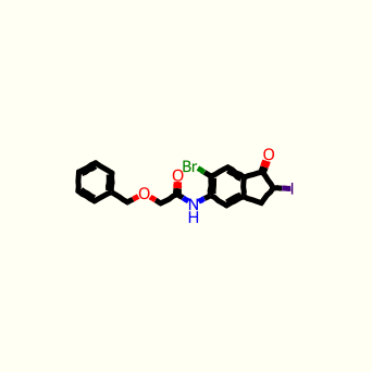 O=C(COCc1ccccc1)Nc1cc2c(cc1Br)C(=O)C(I)C2